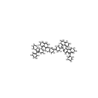 C1=CC2c3cc(C(Cc4ccc(-c5ccc(N(c6ccc7c(c6)c6ccccc6n7-c6ccccc6)c6cccc7ccccc67)cc5)cc4)c4cccc5ccccc45)ccc3N(c3ccccc3)C2C=C1